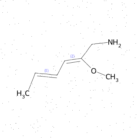 C/C=C/C=C(/CN)OC